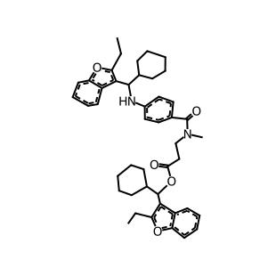 CCc1oc2ccccc2c1C(Nc1ccc(C(=O)N(C)CCC(=O)OC(c2c(CC)oc3ccccc23)C2CCCCC2)cc1)C1CCCCC1